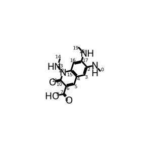 CNc1cc2cc(C(=O)O)c(=O)n(NC)c2cc1NC